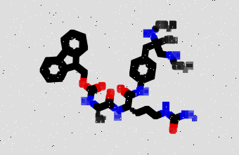 CC(C)[C@H](NC(=O)OCC1c2ccccc2-c2ccccc21)C(=O)N[C@@H](CCCNC(N)=O)C(=O)Nc1ccc(CC(CNC(=O)O)(NC(=O)O)C(C)(C)C)cc1